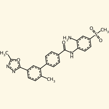 Cc1nnc(-c2ccc(C)c(-c3ccc(C(=O)Nc4ccc(S(C)(=O)=O)cc4N)cc3)c2)o1